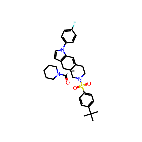 CC(C)(C)c1ccc(S(=O)(=O)N2CCC3=Cc4c(ccn4-c4ccc(F)cc4)C[C@]3(C(=O)N3CCCCC3)C2)cc1